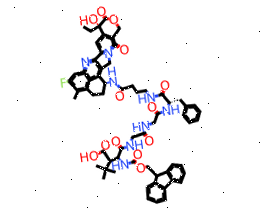 CC[C@@]1(O)C(=O)OCc2c1cc1n(c2=O)Cc2c-1nc1cc(F)c(C)c3c1c2[C@@H](NC(=O)CCCNC(=O)[C@H](Cc1ccccc1)NC(=O)CNC(=O)CNC(=O)[C@@H](NC(=O)OCC1c2ccccc2-c2ccccc21)C(C(=O)O)C(C)(C)C)CC3